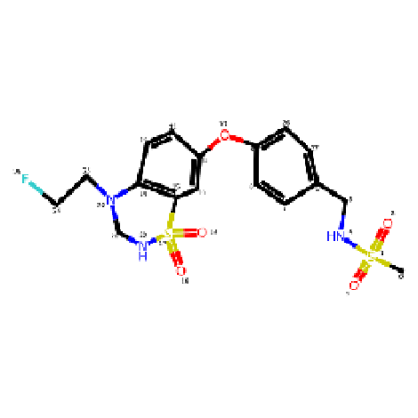 CS(=O)(=O)NCc1ccc(Oc2ccc3c(c2)S(=O)(=O)NCN3CCF)cc1